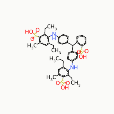 CCc1cc(C)c(S(=O)(=O)O)c(CC)c1Nc1ccc(C(c2ccc(Nc3c(CC)cc(C)c(S(=O)(=O)O)c3CC)cc2)c2ccccc2S(=O)(=O)O)cc1